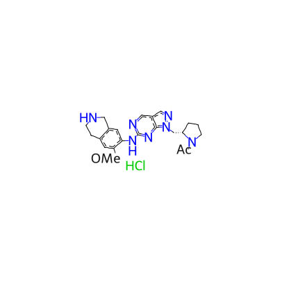 COc1cc2c(cc1Nc1ncc3cnn(C[C@@H]4CCCN4C(C)=O)c3n1)CNCC2.Cl